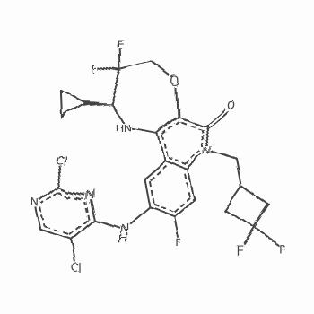 O=c1c2c(c3cc(Nc4nc(Cl)ncc4Cl)c(F)cc3n1CC1CC(F)(F)C1)N[C@@H](C1CC1)C(F)(F)CO2